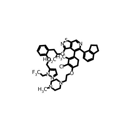 CC1=C(c2c(-c3cccc4c3CCC4)ncc3snc(O[C@H](Cc4ccccc4OCc4ccnn4CC(F)(F)F)C(=O)O)c23)CCC(OCCN2CCN(C)CC2)=C1Cl